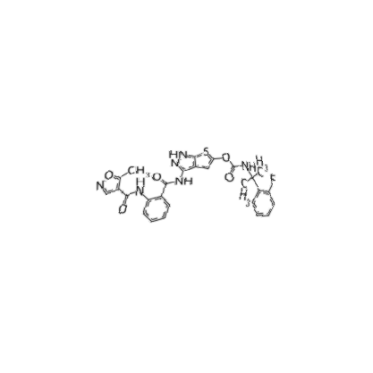 Cc1oncc1C(=O)Nc1ccccc1C(=O)Nc1n[nH]c2sc(OC(=O)NC(C)(C)c3ccccc3F)cc12